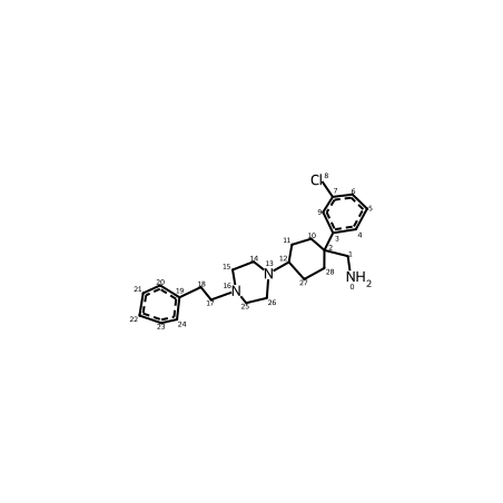 NCC1(c2cccc(Cl)c2)CCC(N2CCN(CCc3ccccc3)CC2)CC1